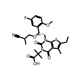 CCc1sc2c(c1C)c(=O)n(C(C)(C)C(=O)O)c(=O)n2C[C@H](OCC(C)C#N)c1cc(F)ccc1OC